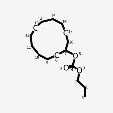 CCCOC(=O)OC1CCCCCCCCCCC1